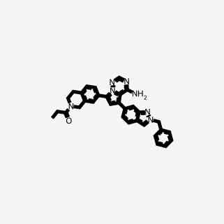 CCC(=O)N1CCc2ccc(-c3cc(-c4ccc5cn(Cc6ccccc6)nc5c4)c4c(N)ncnn34)cc2C1